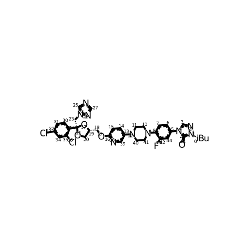 CC[C@@H](C)n1ncn(-c2ccc(N3CCN(c4ccc(OC[C@@H]5CO[C@@](Cn6cncn6)(c6ccc(Cl)cc6Cl)O5)nc4)CC3)c(F)c2)c1=O